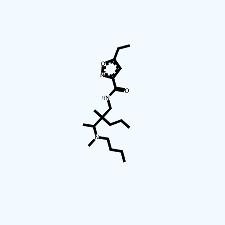 CCCCN(C)C(C)C(C)(CCC)CNC(=O)c1cc(CC)on1